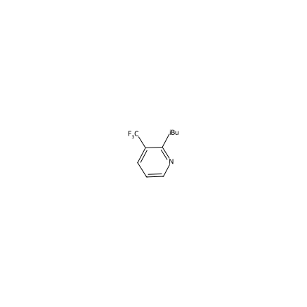 CCC(C)c1ncccc1C(F)(F)F